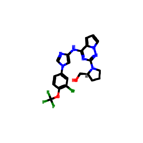 OC[C@@H]1CCCN1c1nc(Nc2cn(-c3ccc(OC(F)(F)F)c(Br)c3)cn2)c2cccn2n1